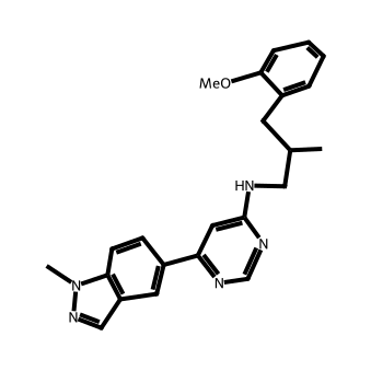 COc1ccccc1CC(C)CNc1cc(-c2ccc3c(cnn3C)c2)ncn1